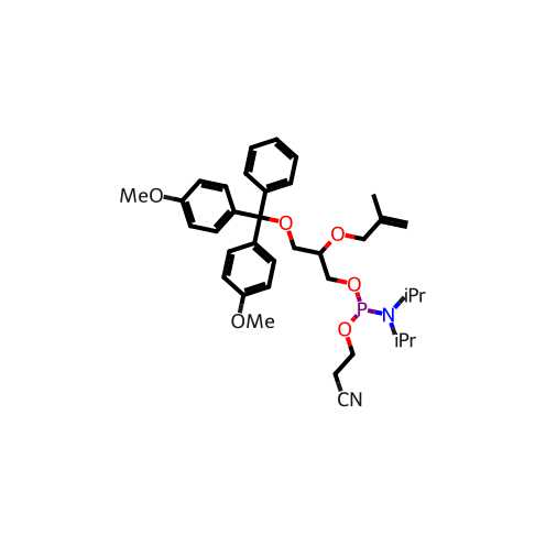 C=C(C)COC(COP(OCCC#N)N(C(C)C)C(C)C)COC(c1ccccc1)(c1ccc(OC)cc1)c1ccc(OC)cc1